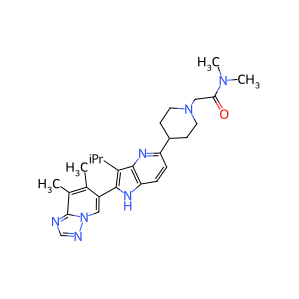 Cc1c(-c2[nH]c3ccc(C4CCN(CC(=O)N(C)C)CC4)nc3c2C(C)C)cn2ncnc2c1C